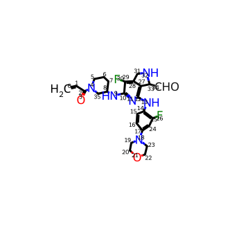 C=CC(=O)N1CCCC(Nc2nc(Nc3ccc(N4CCOCC4)cc3F)c3c(c2F)CNC3C=O)C1